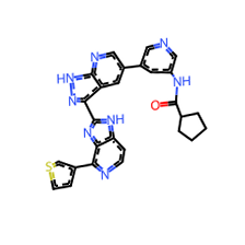 O=C(Nc1cncc(-c2cnc3[nH]nc(-c4nc5c(-c6ccsc6)nccc5[nH]4)c3c2)c1)C1CCCC1